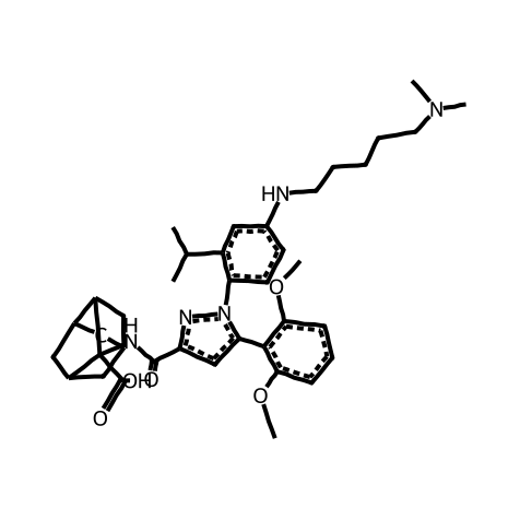 COc1cccc(OC)c1-c1cc(C(=O)NC2(C(=O)O)C3CC4CC(C3)C2C4)nn1-c1ccc(NCCCCCN(C)C)cc1C(C)C